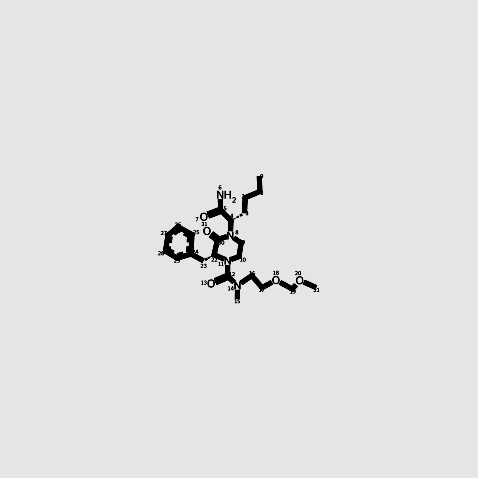 CCCC[C@@H](C(N)=O)N1CCN(C(=O)N(C)CCOCOC)[C@H](Cc2ccccc2)C1=O